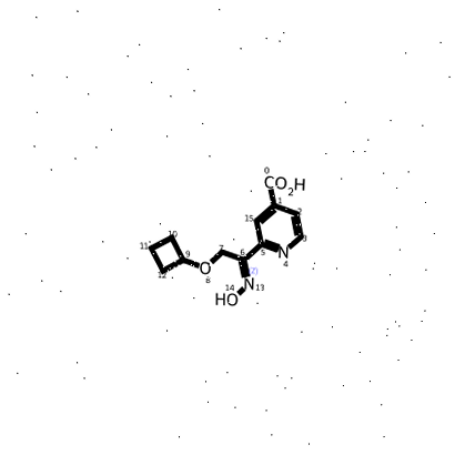 O=C(O)c1ccnc(/C(COC2CCC2)=N/O)c1